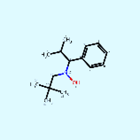 CC(C)C(c1ccccc1)N(O)CC(C)(C)C